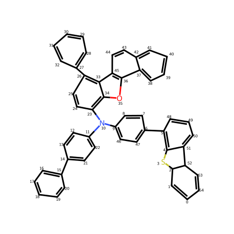 C1=CC2Sc3c(-c4ccc(N(c5ccc(-c6ccccc6)cc5)c5ccc(-c6ccccc6)c6c5oc5c7ccccc7ccc56)cc4)cccc3C2C=C1